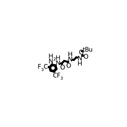 CC(C)(C)OC(=O)NCCNC(=O)CC(=O)Nc1cc(C(F)(F)F)cc(C(F)(F)F)c1N